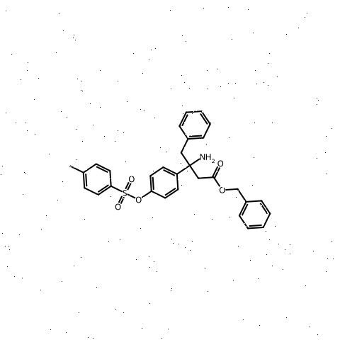 Cc1ccc(S(=O)(=O)Oc2ccc(C(N)(CC(=O)OCc3ccccc3)Cc3ccccc3)cc2)cc1